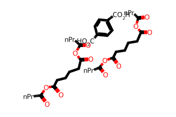 CCCC(=O)OC(=O)CCCCC(=O)OC(=O)CCC.CCCC(=O)OC(=O)CCCCC(=O)OC(=O)CCC.O=C(O)c1ccc(C(=O)O)cc1